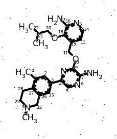 Cc1cc(-c2cnc(N)c(OCc3ccnc(N)c3OCC(C)C)n2)cc2c1CCN(C)C2